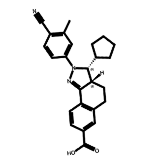 Cc1cc(N2N=C3c4ccc(C(=O)O)cc4CC[C@H]3[C@H]2C2CCCC2)ccc1C#N